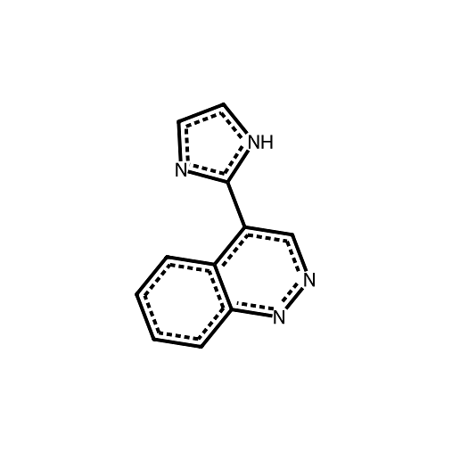 c1ccc2c(-c3ncc[nH]3)cnnc2c1